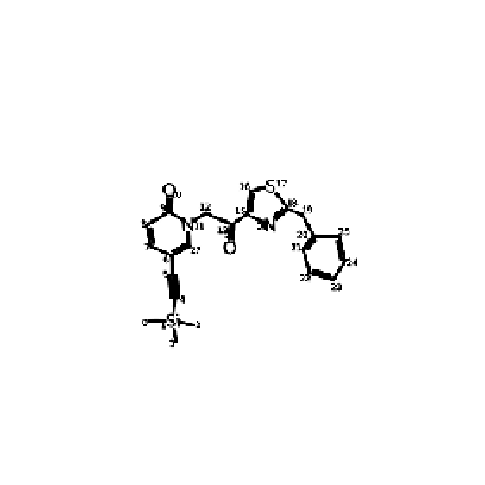 C[Si](C)(C)C#Cc1ccc(=O)n(CC(=O)c2csc(Cc3ccccc3)n2)c1